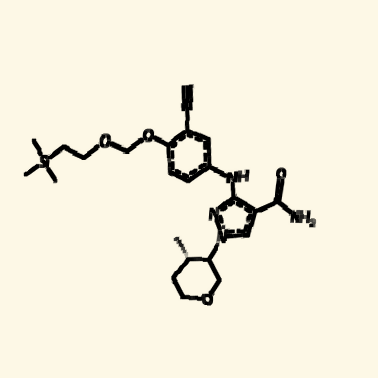 C#Cc1cc(Nc2nn(C3COCC[C@@H]3C)cc2C(N)=O)ccc1OCOCC[Si](C)(C)C